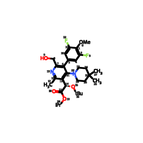 COc1c(F)cc(-c2c(CO)nc(C)c([C@H](OC(C)(C)C)C(=O)OC(C)C)c2N2CCC(C)(C)CC2)cc1F